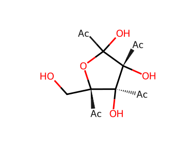 CC(=O)C1(O)O[C@](CO)(C(C)=O)[C@@](O)(C(C)=O)[C@]1(O)C(C)=O